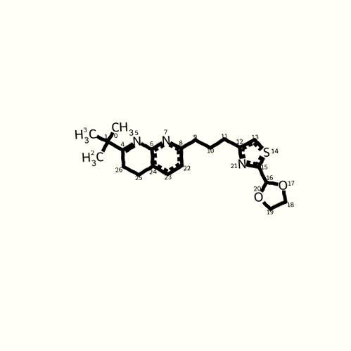 CC(C)(C)C1=Nc2nc(CCCc3csc(C4OCCO4)n3)ccc2CC1